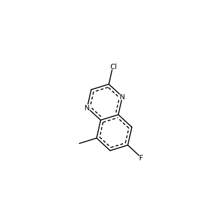 Cc1cc(F)cc2nc(Cl)cnc12